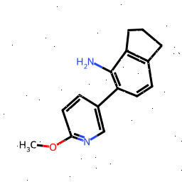 COc1ccc(-c2ccc3c(c2N)CCC3)cn1